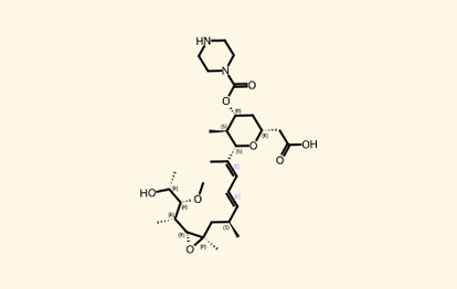 CO[C@H]([C@@H](C)[C@H]1O[C@]1(C)C[C@H](C)/C=C/C=C(\C)[C@H]1O[C@@H](CC(=O)O)C[C@@H](OC(=O)N2CCNCC2)[C@@H]1C)[C@@H](C)O